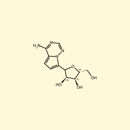 Nc1ncnn2c(C3O[C@H](CO)[C@@H](O)[C@H]3O)ccc12